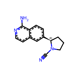 N#CN1CCC[C@@H]1c1ccc2c(N)nccc2c1